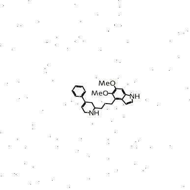 COc1cc2[nH]ccc2c(CCCC2CC(c3ccccc3)=CCN2)c1OC